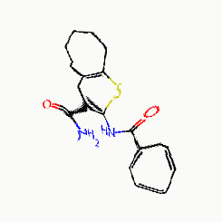 NC(=O)c1c(NC(=O)c2ccccc2)sc2c1CCCCC2